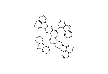 c1cc2c3c(cccc3c1)-c1cc3c(cc1-2)c(-c1cccc2oc4ccccc4c12)cc1c2cc4c(cc2c(-c2cccc5oc6ccccc6c25)cc31)-c1cccc2cccc-4c12